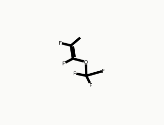 C/C(F)=C(/F)OC(F)(F)F